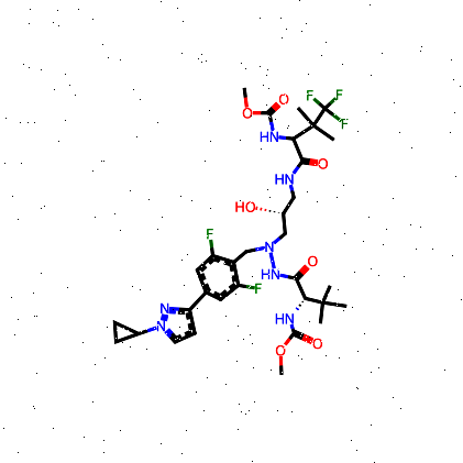 COC(=O)NC(C(=O)NC[C@@H](O)CN(Cc1c(F)cc(-c2ccn(C3CC3)n2)cc1F)NC(=O)[C@@H](NC(=O)OC)C(C)(C)C)C(C)(C)C(F)(F)F